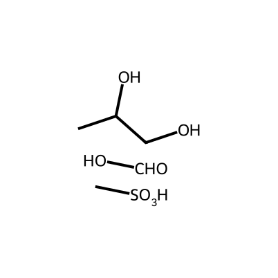 CC(O)CO.CS(=O)(=O)O.O=CO